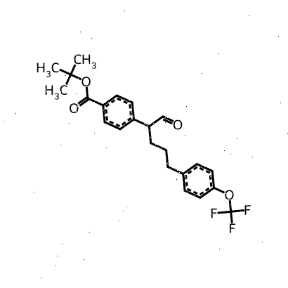 CC(C)(C)OC(=O)c1ccc(C(C=O)CCCc2ccc(OC(F)(F)F)cc2)cc1